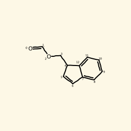 O=[C]OCC1C=Cc2ccccc21